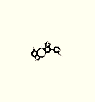 Cc1cc(-c2cc3c(n4cnnc24)NCc2c(F)ccc4c2[C@H](CO4)CO3)ccn1